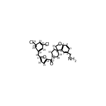 NCc1ccc2c(c1)C1(CCN(C(=O)c3ccc(Cc4cc(Cl)cc(Cl)c4)o3)CC1)CO2